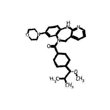 CO[C@H](C(C)C)C1CCC(C(=O)N2Cc3cccnc3Nc3ccc(N4CCOCC4)cc32)CC1